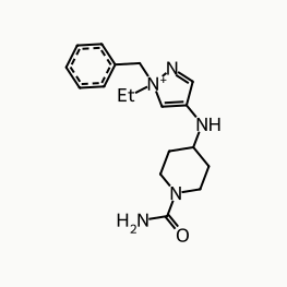 CC[N+]1(Cc2ccccc2)C=C(NC2CCN(C(N)=O)CC2)C=N1